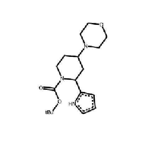 CC(C)(C)OC(=O)N1CCC(N2CCOCC2)CC1c1ccc[nH]1